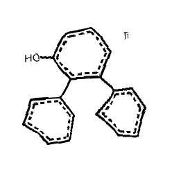 Oc1cccc(-c2ccccc2)c1-c1ccccc1.[Ti]